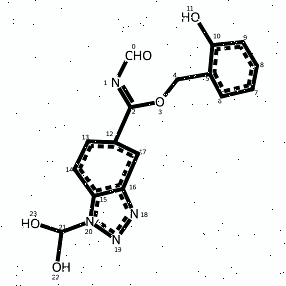 O=C/N=C(\OCc1ccccc1O)c1ccc2c(c1)nnn2C(O)O